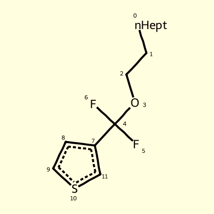 CCCCCCCCCOC(F)(F)c1ccsc1